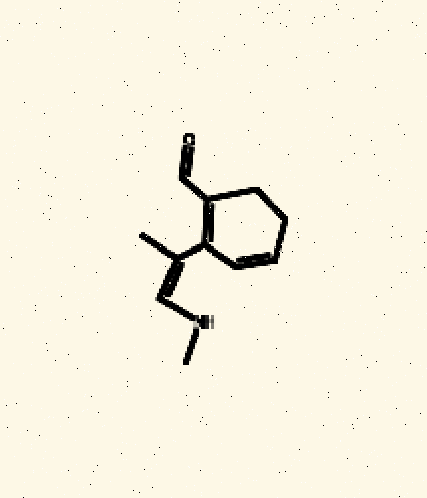 CN/C=C(/C)C1=C(C=O)CCC=C1